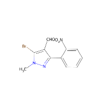 Cn1nc(-c2ccccc2[N+](=O)[O-])c(C=O)c1Br